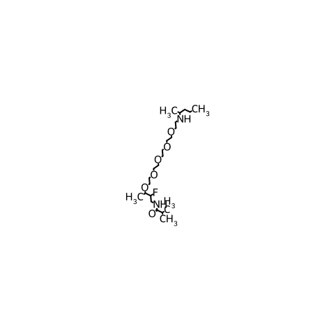 CCCC(C)NCCOCCOCCOCCOCCOC(C)C(F)CNC(=O)C(C)C